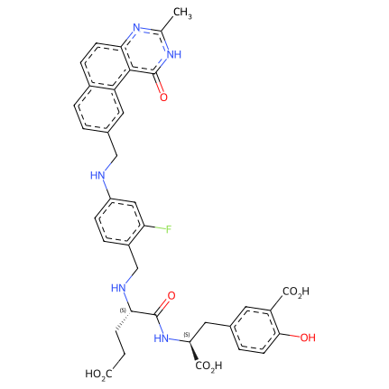 Cc1nc2ccc3ccc(CNc4ccc(CN[C@@H](CCC(=O)O)C(=O)N[C@@H](Cc5ccc(O)c(C(=O)O)c5)C(=O)O)c(F)c4)cc3c2c(=O)[nH]1